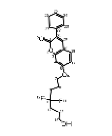 O=c1oc2cc(OCCCC(F)(F)CCCO)ccc2cc1-c1ccccc1